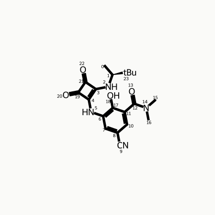 C[C@H](Nc1c(Nc2cc(C#N)cc(C(=O)N(C)C)c2O)c(=O)c1=O)C(C)(C)C